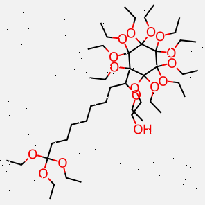 CCOC(CCCCCCCC(OCC)(OCC)OCC)C1(OCC)C(OCC)(OCC)C(OCC)(OCC)C(OCC)(OCC)C(OCC)(OCC)C1(OCC)OCCO